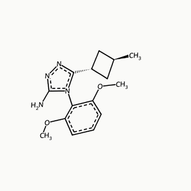 COc1cccc(OC)c1-n1c(N)nnc1[C@H]1C[C@H](C)C1